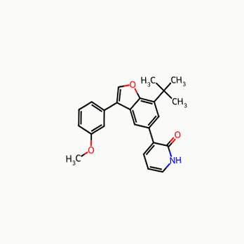 COc1cccc(-c2coc3c(C(C)(C)C)cc(-c4ccc[nH]c4=O)cc23)c1